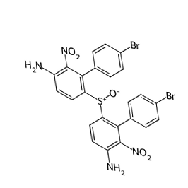 Nc1ccc([S+]([O-])c2ccc(N)c([N+](=O)[O-])c2-c2ccc(Br)cc2)c(-c2ccc(Br)cc2)c1[N+](=O)[O-]